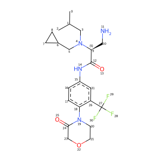 CC(C)CN(CC1CC1)[C@@H](CN)C(=O)Nc1ccc(N2CCOCC2=O)c(C(F)(F)F)c1